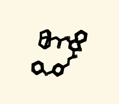 O=C(CC12CC3CC(CC(C3)C1)C2)Nc1cc(NCCc2ccc(Oc3ccccc3)cc2)nc2ccccc12